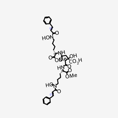 COC(=O)[C@H](CCCCN(O)C(=O)/C=C/c1ccccc1)NC(=O)CC(O)(CC(=O)N[C@@H](CCCCN(O)C(=O)/C=C/c1ccccc1)C(=O)OC)C(=O)O